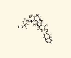 Cc1c(Oc2ccn3ncnc3c2)ccc(Nc2ncnc3cnc(N(C)CC(C)(C)O)nc23)c1F